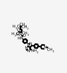 CCN1CCC(c2ccc(-c3nn(-c4ccc(NC(=O)NC5(C)C=C(C(C)(C)C)OC5C)cc4)c4ncnc(N)c34)cc2)CC1